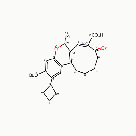 CC(C)COc1cc2c(cc1C1CCC1)C1=C(/C=C(/C(=O)O)C(=O)CCCC1)C(C(C)C)O2